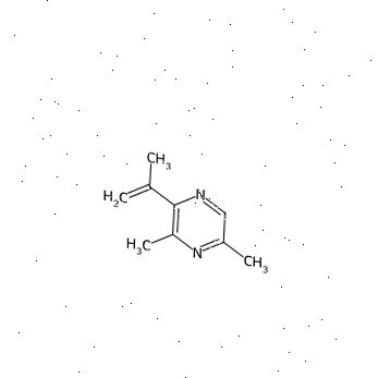 C=C(C)c1ncc(C)nc1C